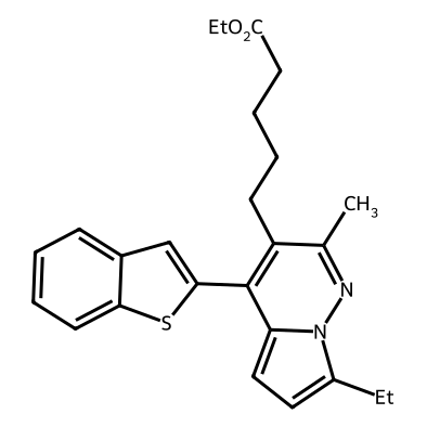 CCOC(=O)CCCCc1c(C)nn2c(CC)ccc2c1-c1cc2ccccc2s1